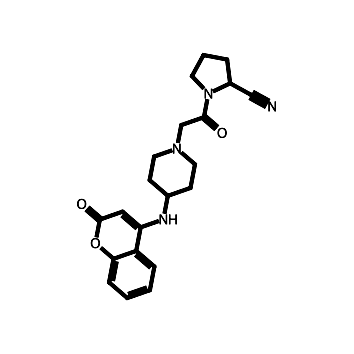 N#CC1CCCN1C(=O)CN1CCC(Nc2cc(=O)oc3ccccc23)CC1